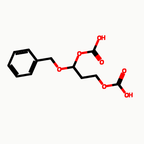 O=C(O)OCCC(OCc1ccccc1)OC(=O)O